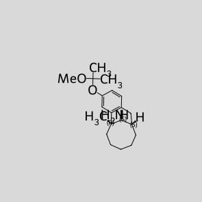 COC(C)(C)Oc1ccc2c(c1)[C@@]1(C)CCCCC[C@@H](C2)[C@@H]1N